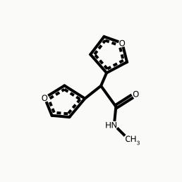 CNC(=O)C(c1ccoc1)c1ccoc1